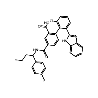 CCCC(NC(=O)c1ccc(-c2c(Cl)cccc2-c2nc3ccccc3[nH]2)c(C(=O)O)c1)c1ccc(F)cc1